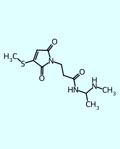 CNC(C)NC(=O)CCN1C(=O)C=C(SC)C1=O